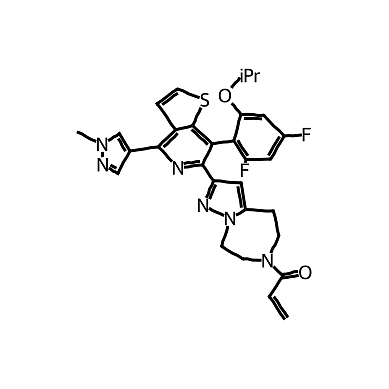 C=CC(=O)N1CCc2cc(-c3nc(-c4cnn(C)c4)c4ccsc4c3-c3c(F)cc(F)cc3OC(C)C)nn2CC1